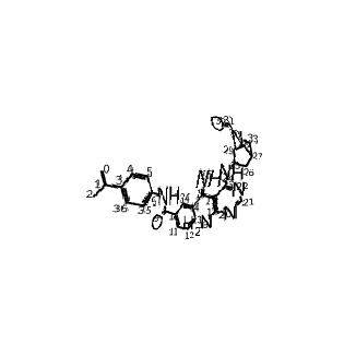 CC(C)c1ccc(NC(=O)c2cccc(C(=N)c3c(N)ncnc3NC3CC4CC3N(C=O)C4)c2)cc1